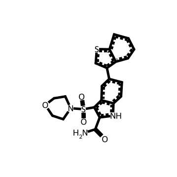 NC(=O)c1[nH]c2ccc(-c3csc4ccccc34)cc2c1S(=O)(=O)N1CCOCC1